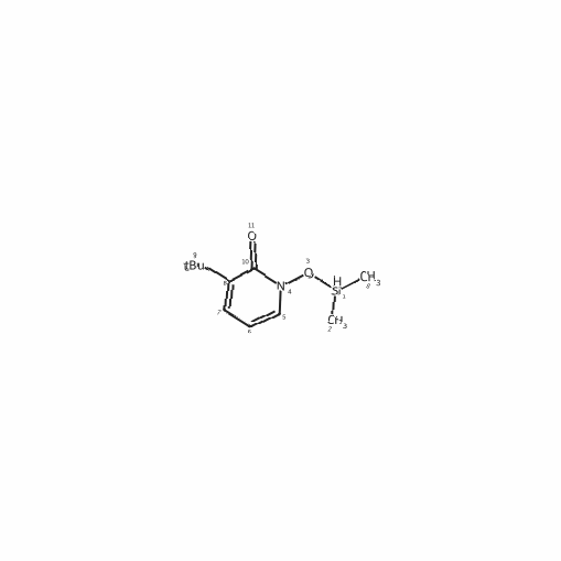 C[SiH](C)On1cccc(C(C)(C)C)c1=O